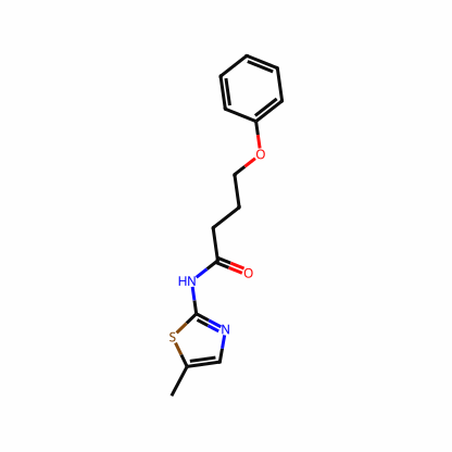 Cc1cnc(NC(=O)CCCOc2ccccc2)s1